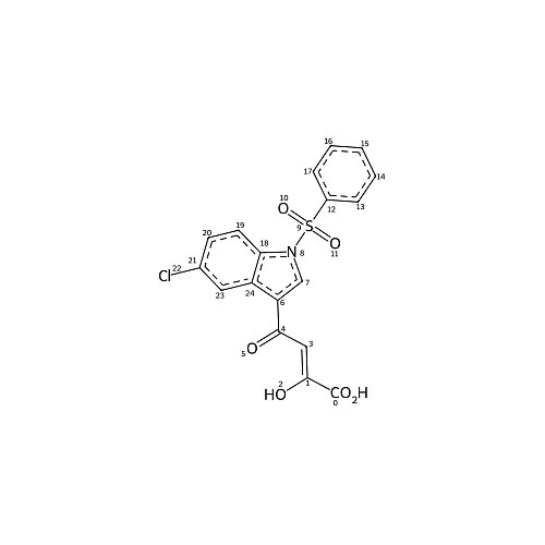 O=C(O)/C(O)=C/C(=O)c1cn(S(=O)(=O)c2ccccc2)c2ccc(Cl)cc12